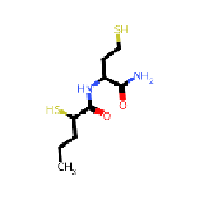 CCCC(S)C(=O)NC(CCS)C(N)=O